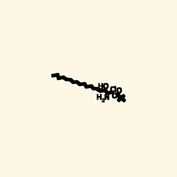 CCCCCCCCCCCCCC=CC(O)C(N)C(Cl)OC(=O)C(C)(C)C